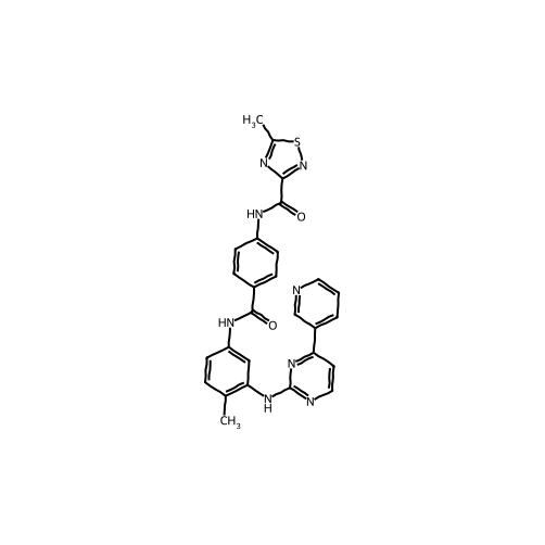 Cc1nc(C(=O)Nc2ccc(C(=O)Nc3ccc(C)c(Nc4nccc(-c5cccnc5)n4)c3)cc2)ns1